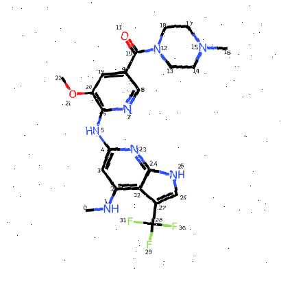 CNc1cc(Nc2ncc(C(=O)N3CCN(C)CC3)cc2OC)nc2[nH]cc(C(F)(F)F)c12